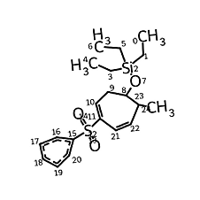 CC[Si](CC)(CC)OC1CC=C(S(=O)(=O)c2ccccc2)C=CC1C